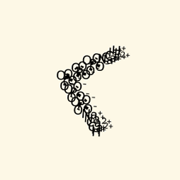 O=P([O-])([O-])[O-].O=P([O-])([O-])[O-].O=P([O-])([O-])[O-].O=P([O-])([O-])[O-].O=P([O-])([O-])[O-].[Ca+2].[Ca+2].[Ca+2].[Ca+2].[H+].[H+].[H+].[H+].[Na+].[Na+].[Na+]